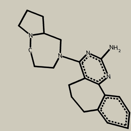 Nc1nc2c(c(N3CCCN4CCCC4C3)n1)CCCc1ccccc1-2